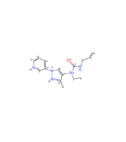 C=CCNC(=O)N(CC)c1cn(-c2cccnc2)nc1C